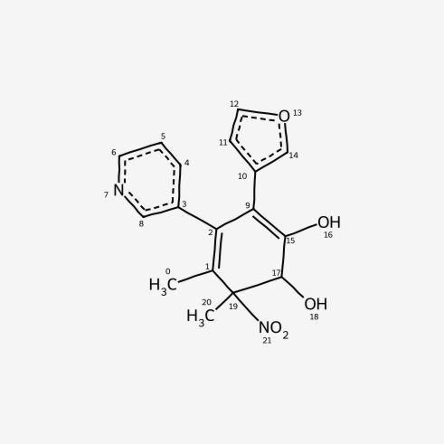 CC1=C(c2cccnc2)C(c2ccoc2)=C(O)C(O)C1(C)[N+](=O)[O-]